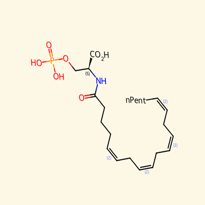 CCCCC/C=C\C/C=C\C/C=C\C/C=C\CCCC(=O)N[C@@H](COP(=O)(O)O)C(=O)O